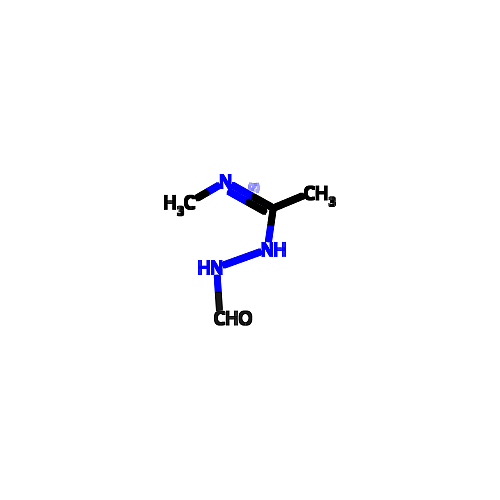 C/N=C(/C)NNC=O